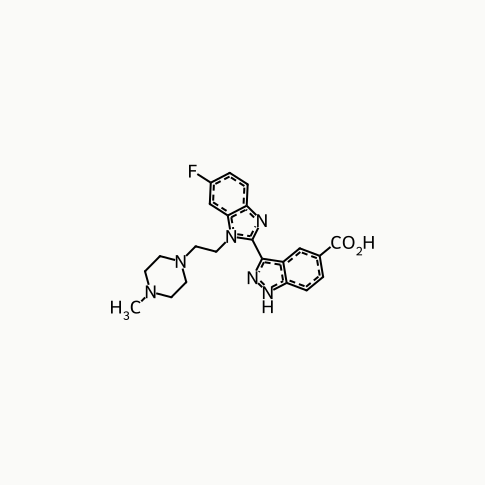 CN1CCN(CCn2c(-c3n[nH]c4ccc(C(=O)O)cc34)nc3ccc(F)cc32)CC1